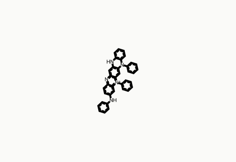 c1ccc(Nc2ccc3nc4cc5c(cc4[n+](-c4ccccc4)c3c2)N(c2ccccc2)c2ccccc2N5)cc1